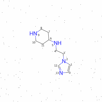 c1cn(CCNC2CCNCC2)cn1